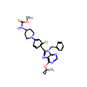 CC(C)(C)OC(=O)NC1CCN(c2ccc(-c3nc4c(OC5(C)CC5)ncnc4n3Cc3ccccc3)c(Cl)c2)CC1